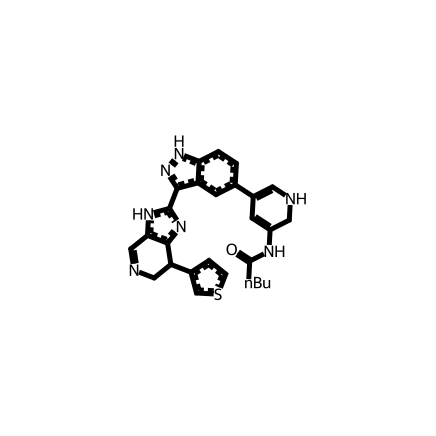 CCCCC(=O)NC1=CC(c2ccc3[nH]nc(-c4nc5c([nH]4)C=NCC5c4ccsc4)c3c2)=CNC1